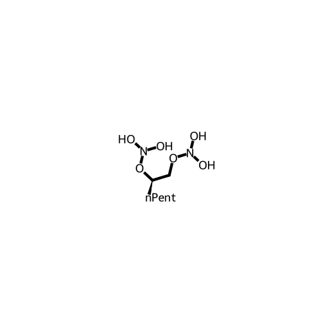 CCCCC[C@H](CON(O)O)ON(O)O